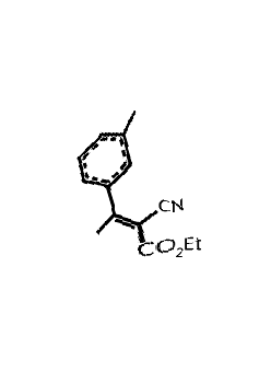 CCOC(=O)C(C#N)=C(C)c1cccc(C)c1